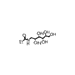 CCC(=O)NC[C@@H](O)[C@H](O)[C@@H](O)[C@@H](O)CO